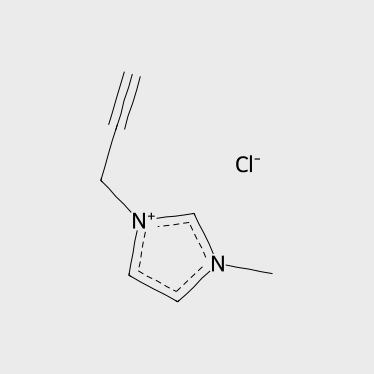 C#CC[n+]1ccn(C)c1.[Cl-]